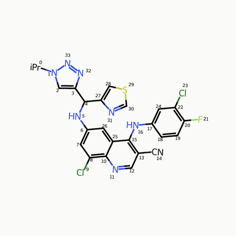 CC(C)n1cc(C(Nc2cc(Cl)c3ncc(C#N)c(Nc4ccc(F)c(Cl)c4)c3c2)c2cscn2)nn1